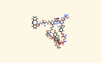 CCCC1O[C@@H]2C[C@H]3[C@@H]4CCC5=CC(=O)C=C[C@]5(C)[C@H]4[C@@H](O)C[C@]3(C)[C@]2(C(=O)COC(=O)N(C)CCN(C)C(=O)OCc2ccc(NC(=O)[C@H](CCCNC(N)=O)NC(=O)[C@@H](NC(=O)[C@@H](CCCCCNC(=O)CCC(=O)N3Cc4ccccc4C#Cc4ccccc43)NC(=O)CCCCCN3C(=O)C=CC3=O)C(C)C)cc2)O1